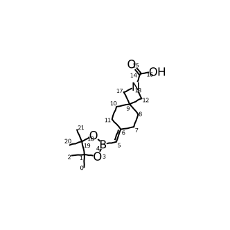 CC1(C)OB(C=C2CCC3(CC2)CN(C(=O)O)C3)OC1(C)C